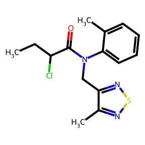 CCC(Cl)C(=O)N(Cc1nsnc1C)c1ccccc1C